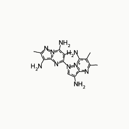 Cc1nc2c(N)cn(-c3nc4c(N)c(C)nn4c(N)c3C)[n+]2c(N)c1C